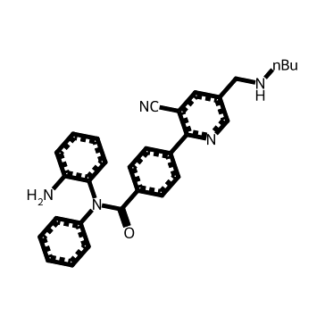 CCCCNCc1cnc(-c2ccc(C(=O)N(c3ccccc3)c3ccccc3N)cc2)c(C#N)c1